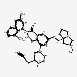 N#CCC1CN(c2nc(OC[C@@]34CCCN3C[C@H](F)C4)nc3c2CCN(c2cc(O)cc4cccc(Cl)c24)C3=O)CCN1